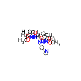 COC(=O)N[C@H](C(=O)N[C@H](CCN(Cc1ccc(-c2ccccn2)cc1)NC(=O)[C@H](NC(=O)OC)C(C)(C)C)Cc1ccccc1)C(C)(C)C